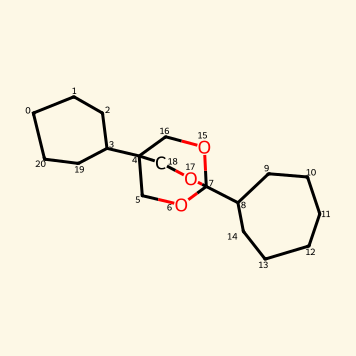 C1CCC(C23COC(C4CCCCCC4)(OC2)OC3)CC1